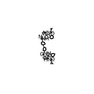 O=C(N[C@@H](C(=O)N1CCC[C@H]1C(=O)Nc1ccc(-c2ccc(-c3cnc([C@@H]4CCCN4C(=O)[C@H](NC(=O)C4CC4)c4ccccc4)[nH]3)cc2)cc1)c1ccccc1)C1CC1